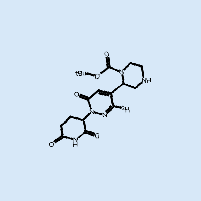 [2H]c1nn(C2CCC(=O)NC2=O)c(=O)cc1C1CNCCN1C(=O)OC(C)(C)C